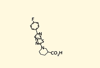 O=C(O)C1CCCN(c2nn3cc(-c4ccc(F)cc4)nc3s2)C1